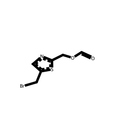 O=COCc1ncc(CBr)s1